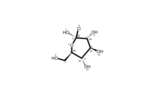 OC[C@H]1O[C@@](O)(Cl)[C@H](O)[C@@H](O)[C@@H]1O